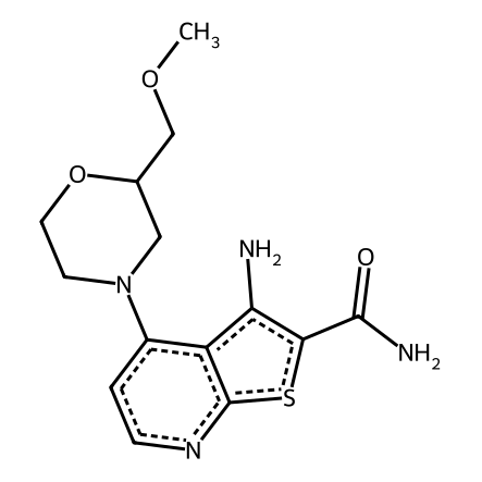 COCC1CN(c2ccnc3sc(C(N)=O)c(N)c23)CCO1